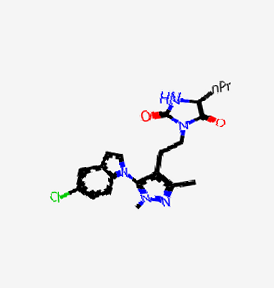 CCCC1NC(=O)N(CCc2c(C)nn(C)c2-n2ccc3cc(Cl)ccc32)C1=O